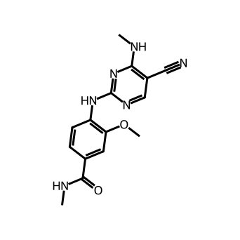 CNC(=O)c1ccc(Nc2ncc(C#N)c(NC)n2)c(OC)c1